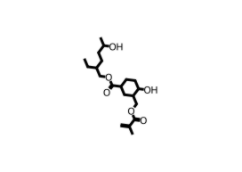 C=C(C)C(=O)OCC1CC(C(=O)OCC(CC)CCC(C)O)CCC1O